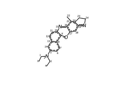 CCN(CC)c1ccc2c3c(ccc2c1)N=c1c(cc2c(c1C)CCN=2)O3